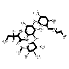 NCC(F)(F)C(O)C(=O)N[C@@H]1C[C@H](N)[C@@H](O[C@H]2O[C@H](CNCCO)[C@@H](O)C[C@H]2N)[C@H](O)[C@H]1O[C@H]1O[C@H](CO)[C@@H](O)[C@H](N)[C@H]1O